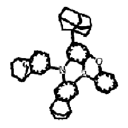 c1ccc2c(c1)Oc1cc(C34CC5CC(CC(C5)C3)C4)cc3c1B2c1cc2c(cc1N3c1ccc3c(c1)C1CCC3CC1)C1CCC2CC1